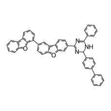 c1ccc(C2=NC(c3ccc4c(c3)oc3ccc(-c5cccc6c5oc5ccccc56)cc34)=NC(c3ccc(-c4ccccc4)cc3)N2)cc1